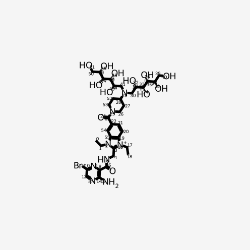 CCn1c(CNC(=O)c2nc(Br)cnc2N)[n+](CC)c2ccc(C(=O)N3CCC(N(C[C@H](O)[C@@H](O)[C@H](O)[C@H](O)CO)C[C@H](O)[C@@H](O)[C@H](O)[C@H](O)CO)CC3)cc21